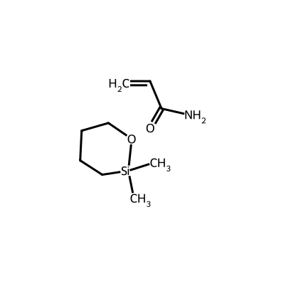 C=CC(N)=O.C[Si]1(C)CCCCO1